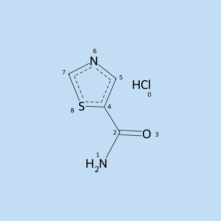 Cl.NC(=O)c1cncs1